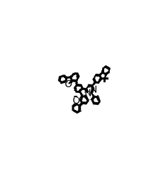 CC1(C)c2ccccc2-c2ccc(-c3cc(-c4cc(-c5cccc6c5oc5ccccc56)ccc4-c4cccc5c4oc4ccccc45)nc(-c4ccccc4)n3)cc21